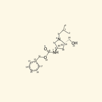 C[C](C)CN1C[C@H](NC(=O)OCc2ccccc2)C[C@H]1CO